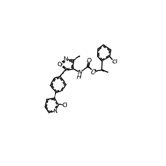 Cc1noc(-c2ccc(-c3cccnc3Cl)cc2)c1NC(=O)OC(C)c1ccccc1Cl